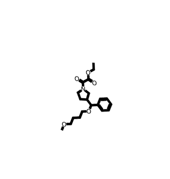 CCOC(=O)C(=O)N1CCC(C(OCCCCOC)c2ccccc2)C1